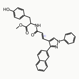 COC(=O)C(Cc1ccc(O)cc1)NC(=O)/C=C/c1cn(-c2ccccc2)nc1-c1ccc2ccccc2c1